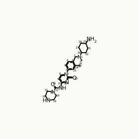 CN(Cc1ccc(-n2ccc(NC(=O)N3CCNCC3)nc2=O)cc1F)C1CCC(N)CC1